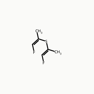 CC(=CF)SC(C)=CF